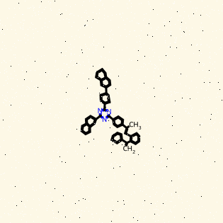 C=C(c1ccccc1)c1ccccc1/C=C(\C)c1ccc(-c2nc(-c3ccc(-c4ccc5ccccc5c4)cc3)nc(-c3ccc4ccccc4c3)n2)cc1